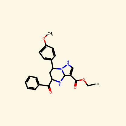 CCOC(=O)C1=CNN2C1NC(C(=O)c1ccccc1)CC2c1ccc(OC)cc1